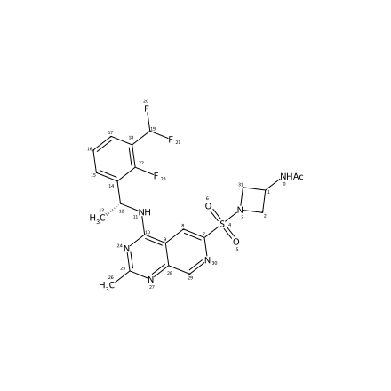 CC(=O)NC1CN(S(=O)(=O)c2cc3c(N[C@H](C)c4cccc(C(F)F)c4F)nc(C)nc3cn2)C1